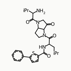 CC(C)CC(NC(=O)c1ccc(-c2ccccc2)s1)C(=O)N1CCC2C1C(=O)CN2C(=O)C(N)C(C)C